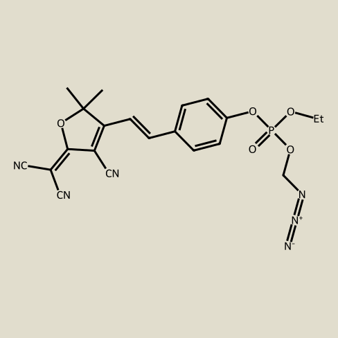 CCOP(=O)(OCN=[N+]=[N-])Oc1ccc(/C=C/C2=C(C#N)C(=C(C#N)C#N)OC2(C)C)cc1